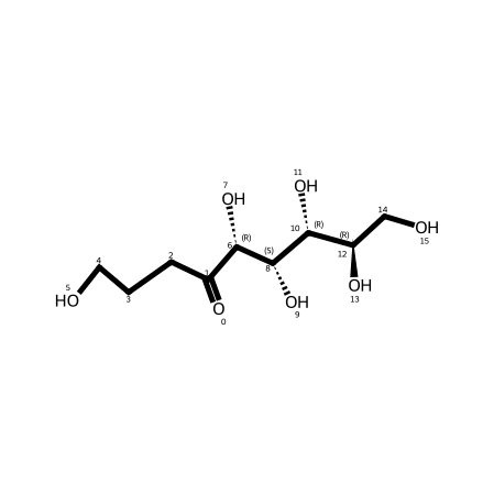 O=C(CCCO)[C@H](O)[C@@H](O)[C@H](O)[C@H](O)CO